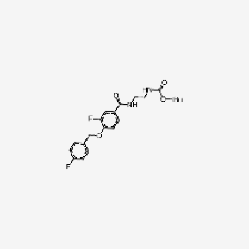 CC(C)(C)OC(=O)NCCNC(=O)c1ccc(OCc2ccc(F)cc2)c(F)c1